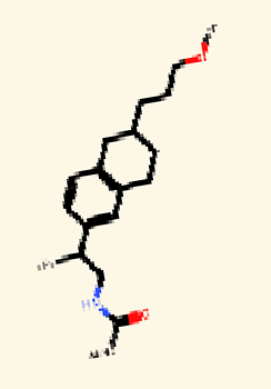 CCCC(CNC(=O)OC)c1ccc2c(c1)CCC(CCCOCC)C2